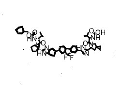 CC(C)C(NC(=O)O)C(=O)N1CC2(CC2)CC1c1ncc(-c2ccc3c(c2)C(F)(F)c2cc(-c4ccc5[nH]c([C@@H]6C7CCC(C7)N6C(=O)[C@@H](NC(=O)OCc6ccccc6)C(C)C)nc5c4)ccc2-3)[nH]1